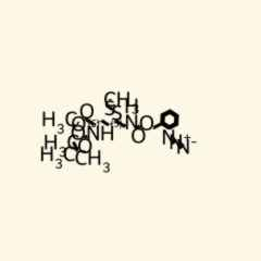 COC(=O)[C@H](CC[C@@H](CNC(=O)OCc1ccccc1N=[N+]=[N-])SSC)NC(=O)OC(C)(C)C